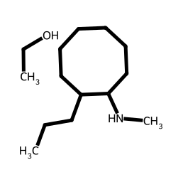 CCCC1CCCCCCC1NC.CCO